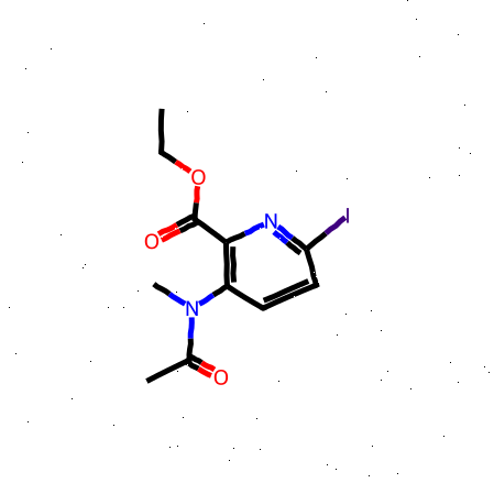 CCOC(=O)c1nc(I)ccc1N(C)C(C)=O